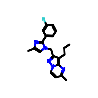 CCCc1c(Cn2cc(C)nc2-c2cccc(F)c2)nn2ccc(C)nc12